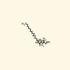 CCCCCCCCCCCCCCCC(=O)N[C@H](C)[C@H](O)CC(N)CO